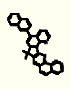 CC1(C)c2cc3ccc4cccnc4c3nc2-c2c1cc(-c1ccc3ccccc3c1)c1cccnc21